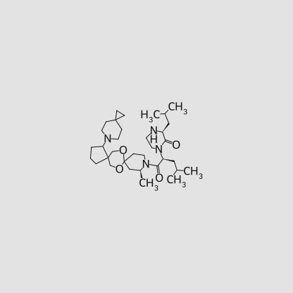 CC(C)C[C@@H]1NCCN([C@@H](CC(C)C)C(=O)N2CCC3(C[C@@H]2C)OCC2(CCCC2N2CCC4(CC2)CC4)CO3)C1=O